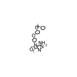 CC1OCc2c1c1ncnc(N)c1n2-c1ccc(Oc2cccc(O[C@@H](C)c3ccccc3)c2)cc1